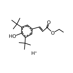 CCOC(=O)/C=C/c1cc(C(C)(C)C)c(O)c(C(C)(C)C)c1.[H+]